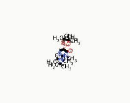 CC(C)[N+](C)(c1ncc(B2OC(C)(C)C(C)(C)O2)c(=O)n1C)C(C)C